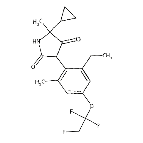 CCc1cc(OC(F)(F)CF)cc(C)c1C1C(=O)NC(C)(C2CC2)C1=O